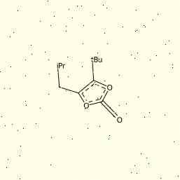 CC(C)Cc1oc(=O)oc1C(C)(C)C